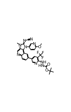 COc1ccc(-n2c(=NC#N)n(C)c3cnc4ccc(-c5cnc(NNC(=O)OC(C)(C)C)c(C(F)(F)F)c5)cc4c32)cn1